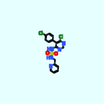 O=S(=O)(NCc1ccccn1)Nc1ncnc(Cl)c1-c1ccc(Cl)cc1